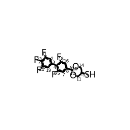 Fc1cc(-c2c(F)cc(C3OCC(S)CO3)cc2F)cc(F)c1F